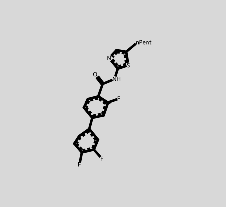 CCCCCc1cnc(NC(=O)c2ccc(-c3ccc(F)c(F)c3)cc2F)s1